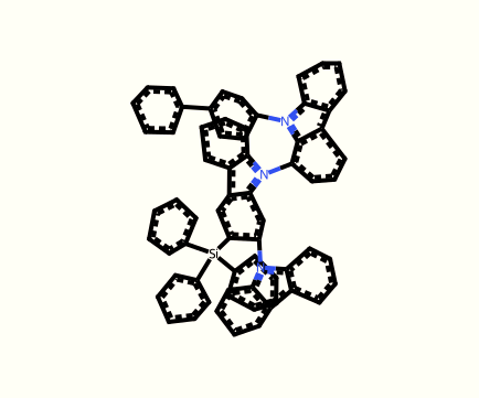 c1ccc(-c2ccc(-n3c4ccccc4c4cccc(-n5c6ccccc6c6cc([Si](c7ccccc7)(c7ccccc7)c7ccccc7)c(-n7c8ccccc8c8ccccc87)cc65)c43)cc2)cc1